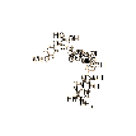 COc1ccc(O[C@@H]2O[C@H](COP(=O)(O)OP(=O)(O)OP(=O)(O)OP(=O)(O)OC[C@H]3O[C@@H](n4cnc5c(=N)n(C)cnc54)[C@H](O)[C@@H]3O)[C@@H](O)[C@H]2O)cc1